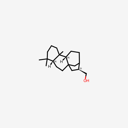 CC1(C)CCCC2(C)[C@@H]1CCC13CC(CC[C@H]12)[C@@H](CO)C3